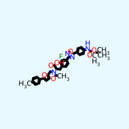 CC(=O)N(Cc1ccc(-c2ccc(C)cc2)o1)C(Cc1ccc(-c2noc(-c3ccc(NC(=O)OC(C)(C)C)cc3)n2)c(F)c1)C(=O)O